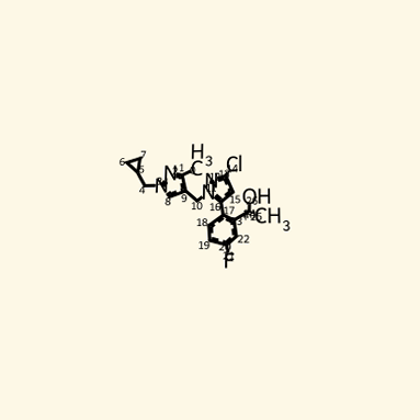 Cc1nn(CC2CC2)cc1Cn1nc(Cl)cc1-c1ccc(F)cc1[C@@H](C)O